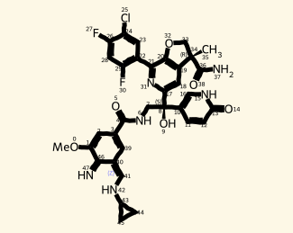 COC1=CC(C(=O)NC[C@@](O)(c2ccc(=O)[nH]c2)c2cc3c(c(-c4cc(Cl)c(F)cc4F)n2)OC[C@]3(C)C(N)=O)=C/C(=C/NC2CC2)C1=N